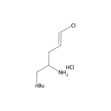 CCCCCC(N)CC=CCl.Cl